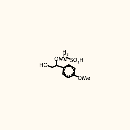 COc1ccc(C(CO)OC)cc1.CS(=O)(=O)O